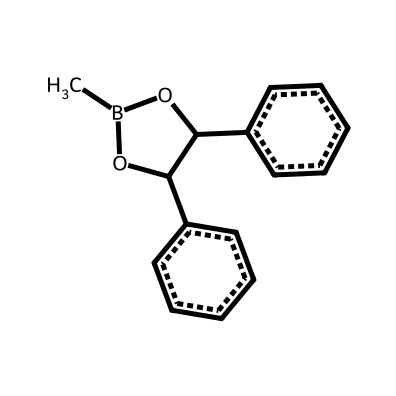 CB1OC(c2ccccc2)C(c2ccccc2)O1